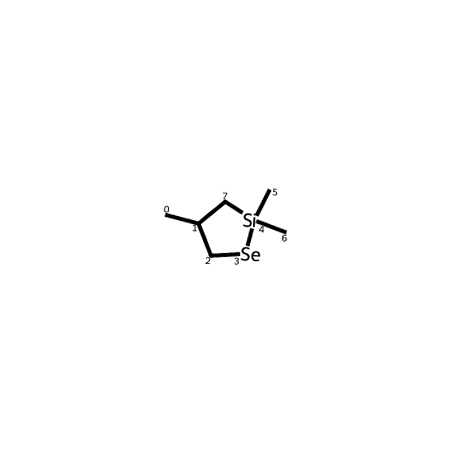 CC1C[Se][Si](C)(C)C1